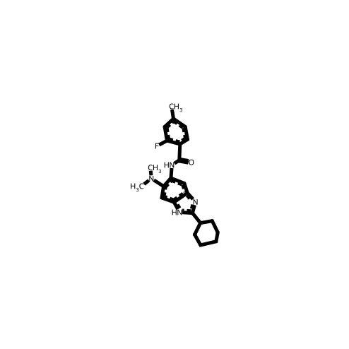 Cc1ccc(C(=O)Nc2cc3nc(C4CCCCC4)[nH]c3cc2N(C)C)c(F)c1